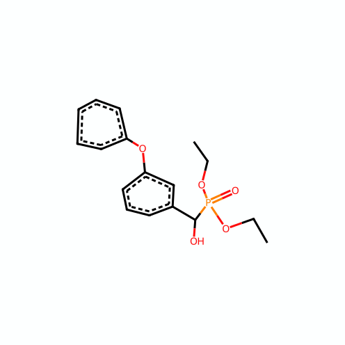 CCOP(=O)(OCC)C(O)c1cccc(Oc2ccccc2)c1